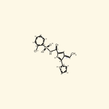 C/C=C1\C=C(C(=O)NS(=O)(=O)c2ccccc2Cl)N=C1c1cccs1